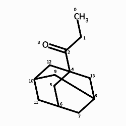 CCC(=O)C12CC3CC(CC(C3)C1)C2